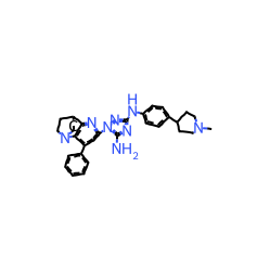 CN1CCC(c2ccc(Nc3nc(N)n(-c4cc(-c5ccccc5)c5c(n4)C4CCN5CC4)n3)cc2)CC1